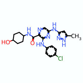 Cc1cc(Nc2cnc(C(=O)NC3CCC(O)CC3)c(Nc3ccc(Cl)cc3)n2)n[nH]1